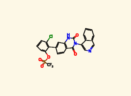 O=c1[nH]c2cc(-c3c(Cl)cccc3OS(=O)(=O)C(F)(F)F)ccc2c(=O)n1-c1cncc2ccccc12